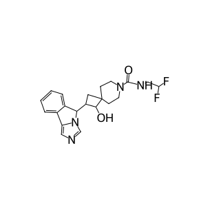 O=C(NCC(F)F)N1CCC2(CC1)CC(C1c3ccccc3-c3cncn31)C2O